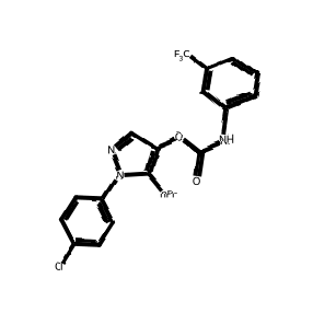 CCCc1c(OC(=O)Nc2cccc(C(F)(F)F)c2)cnn1-c1ccc(Cl)cc1